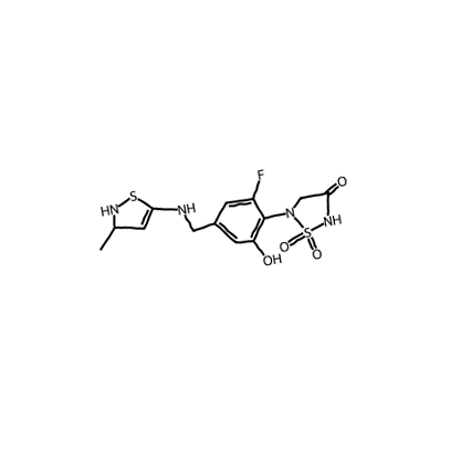 CC1C=C(NCc2cc(O)c(N3CC(=O)NS3(=O)=O)c(F)c2)SN1